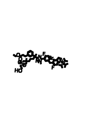 CCOC(=O)CCc1cccc(C(C)(CCCC(C)(C)CS(=O)(=O)CCO)c2nc(-c3cc(Cc4c(F)cc5c(ccn5[Si](C(C)C)(C(C)C)C(C)C)c4Br)ccc3F)n(C)n2)c1